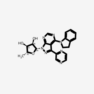 C[C@H]1O[C@@H](n2nc(-c3cnccn3)c3c(N4CCc5ccccc54)ncnc32)[C@H](O)[C@@H]1O